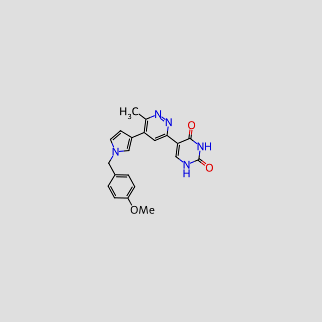 COc1ccc(Cn2ccc(-c3cc(-c4c[nH]c(=O)[nH]c4=O)nnc3C)c2)cc1